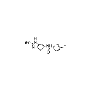 CC(C)c1nc2ccc(NC(=O)c3ccc(F)cc3)cc2[nH]1